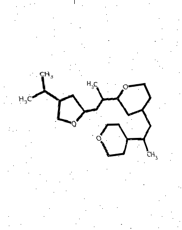 CC(C)C1COC(CC(C)C2CC(CC(C)C3CCOCC3)CCO2)C1